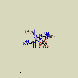 CC(C)n1nnc(-c2nc3c(NCCC(C)(C)C)nc(NCCc4cn(C)cn4)nc3n2[C@@H]2OC[C@H](O)[C@H]2OC=O)n1